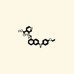 CCOc1ccc(N(C)c2ccc3c(c2)CCC[C@H]3CNc2cnccc2C(O)O)cc1